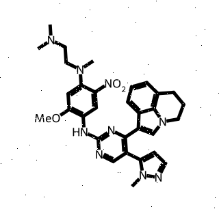 COc1cc(N(C)CCN(C)C)c([N+](=O)[O-])cc1Nc1ncc(-c2ccnn2C)c(-c2cn3c4c(cccc24)CCC3)n1